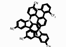 N#Cc1ccc(-n2c3ccc(C#N)cc3c3cc(C#N)ccc32)c(-c2cc(-n3c4ccc(C#N)cc4c4cc(C#N)ccc43)ccc2-c2c(C(F)(F)F)cccc2C(F)(F)F)c1